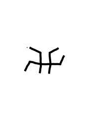 [CH2]CC(C)(CC)C(C)(CC)CC